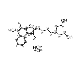 Cc1c(O)c2ccccc2c2c1sc(=NCCCN(CCO)CCO)n2C.Cl.Cl